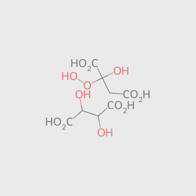 O=C(O)C(O)C(O)C(=O)O.O=C(O)CC(O)(OO)C(=O)O